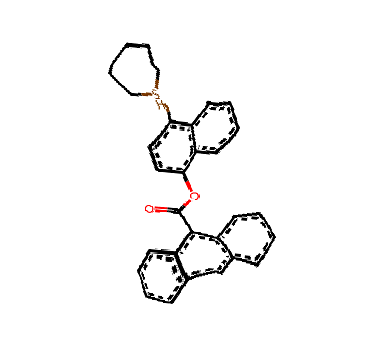 O=C(Oc1ccc([SH]2CCCCC2)c2ccccc12)c1c2ccccc2cc2ccccc12